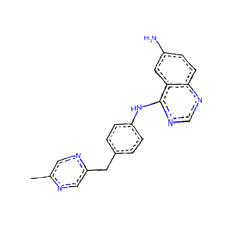 Cc1cnc(Cc2ccc(Nc3ncnc4ccc(N)cc34)cc2)cn1